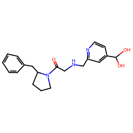 O=C(CNCc1cc(C(O)O)ccn1)N1CCCC1Cc1ccccc1